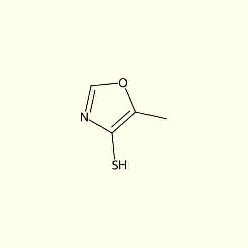 Cc1ocnc1S